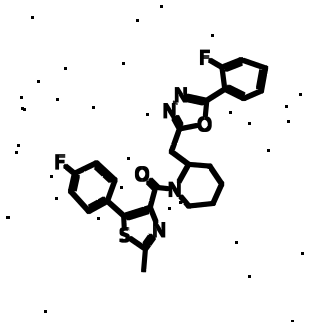 Cc1nc(C(=O)N2CCCCC2Cc2nnc(-c3ccccc3F)o2)c(-c2ccc(F)cc2)s1